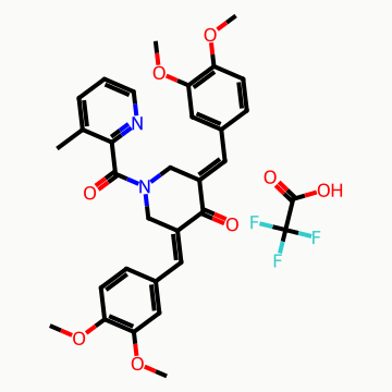 COc1ccc(C=C2CN(C(=O)c3ncccc3C)CC(=Cc3ccc(OC)c(OC)c3)C2=O)cc1OC.O=C(O)C(F)(F)F